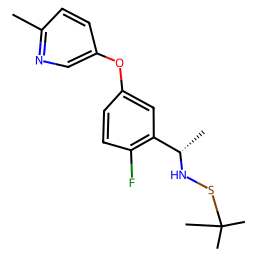 Cc1ccc(Oc2ccc(F)c([C@H](C)NSC(C)(C)C)c2)cn1